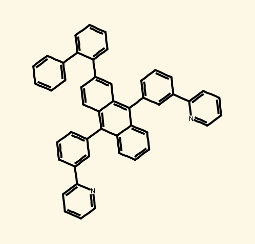 c1ccc(-c2ccccc2-c2ccc3c(-c4cccc(-c5ccccn5)c4)c4ccccc4c(-c4cccc(-c5ccccn5)c4)c3c2)cc1